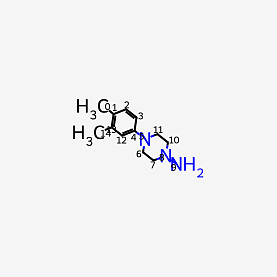 Cc1ccc(N2CCN(N)CC2)cc1C